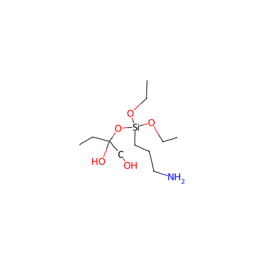 CCO[Si](CCCN)(OCC)OC(O)(CC)CO